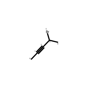 CC#CC(C)Br